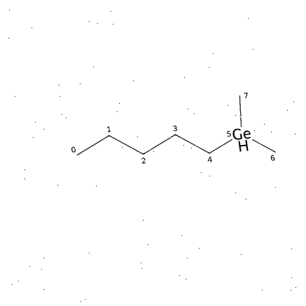 CCCC[CH2][GeH]([CH3])[CH3]